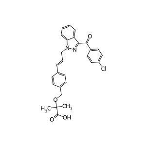 CC(C)(OCc1ccc(C=CCn2nc(C(=O)c3ccc(Cl)cc3)c3ccccc32)cc1)C(=O)O